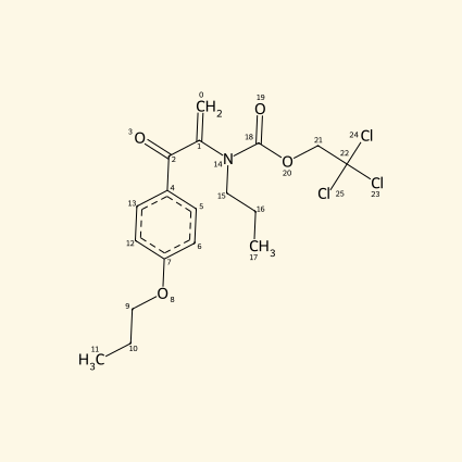 C=C(C(=O)c1ccc(OCCC)cc1)N(CCC)C(=O)OCC(Cl)(Cl)Cl